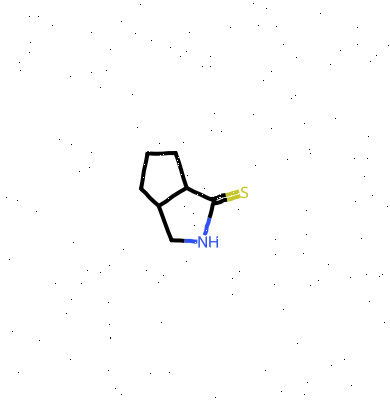 S=C1NCC2CCCC12